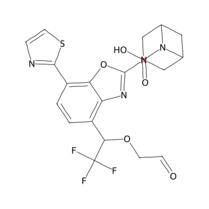 O=CCOC(c1ccc(-c2nccs2)c2oc(N3CC4CC(C3)N4C(=O)O)nc12)C(F)(F)F